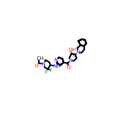 CC(=O)N1CCC(Nc2cc(C(=O)N3CC[C@@H](N4CCc5ccccc5C4)[C@H](O)C3)ccn2)C(F)(F)C1